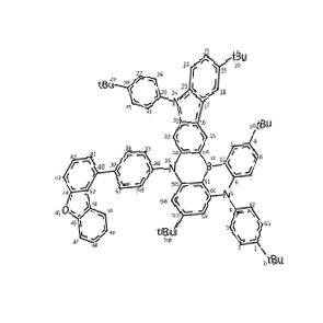 CC(C)(C)c1ccc(N2c3ccc(C(C)(C)C)cc3B3c4cc5c6cc(C(C)(C)C)ccc6n(-c6ccc(C(C)(C)C)cc6)c5cc4N(c4ccc(-c5cccc6oc7ccccc7c56)cc4)c4cc(C(C)(C)C)cc2c43)cc1